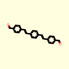 O=Cc1ccc(C=Cc2ccc(C=Cc3ccc(C=O)cc3)cc2)cc1